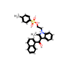 Cc1ccc(S(=O)(=O)OCCn2c(C)c(C(=O)c3cccc4ccccc34)c3ccccc32)cc1